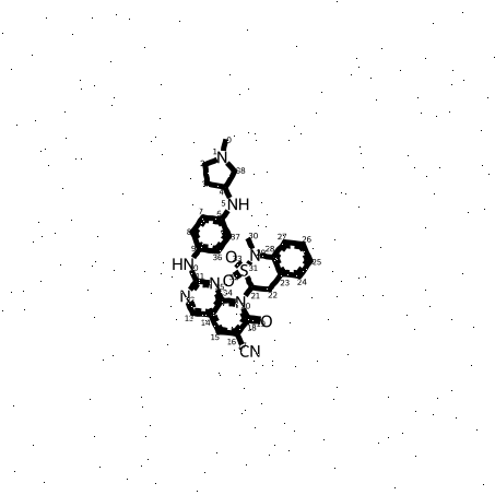 CN1CCC(Nc2ccc(Nc3ncc4cc(C#N)c(=O)n(C5Cc6ccccc6N(C)S5(=O)=O)c4n3)cc2)C1